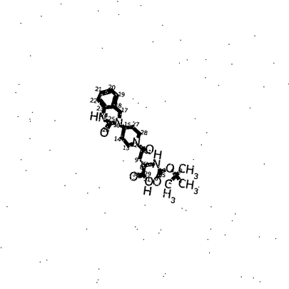 CC(C)(C)OC(=O)N[C@@H](CC(=O)N1CCC(N2Cc3ccccc3NC2=O)CC1)C(=O)O